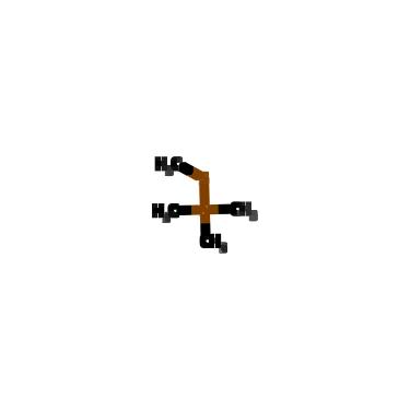 CSS(C)(C)C